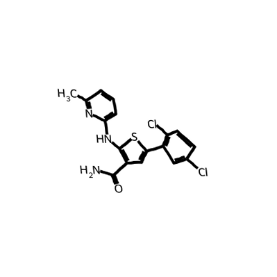 Cc1cccc(Nc2sc(-c3cc(Cl)ccc3Cl)cc2C(N)=O)n1